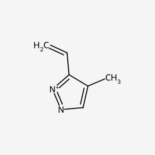 C=CC1=[N+]=NC=C1C